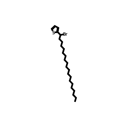 CCCCCCCCCCCCCCCCCCCC(Br)c1cccs1